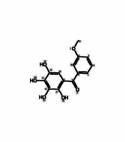 COc1cccc(C(=O)c2cc(O)c(O)c(O)c2O)c1